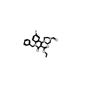 CCOC(=O)c1c(N2CCN(C=O)CC2)c2cc(F)ccc2n(Cc2ccccc2)c1=O